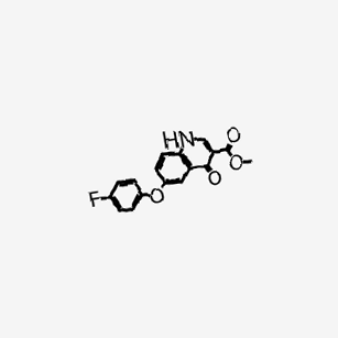 COC(=O)c1c[nH]c2ccc(Oc3ccc(F)cc3)cc2c1=O